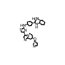 Nc1ccccc1NC(=O)c1ccc(Nc2nc(-c3cnc4cc(On5ccnc5)ccn34)cs2)cc1